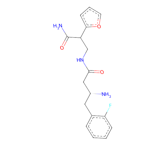 NC(=O)C(CNC(=O)C[C@H](N)Cc1ccccc1F)c1ccco1